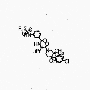 CC(C)[C@@H](NC(=O)c1cccc(NS(=O)(=O)C(F)(F)F)c1)C(=O)N1CC[C@](O)(c2ccc(Cl)cc2)C(C)(C)C1